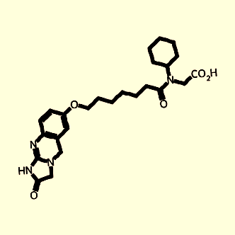 O=C(O)CN(C(=O)CCCCCCOc1ccc2c(c1)CN1CC(=O)NC1=N2)C1CCCCC1